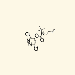 C=CCCN(C(=O)Oc1cc(Cl)nnc1Cl)C(C)(C)C